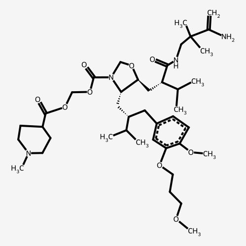 C=C(N)C(C)(C)CNC(=O)[C@@H](C[C@@H]1OCN(C(=O)OCOC(=O)C2CCN(C)CC2)[C@H]1C[C@H](Cc1ccc(OC)c(OCCCOC)c1)C(C)C)C(C)C